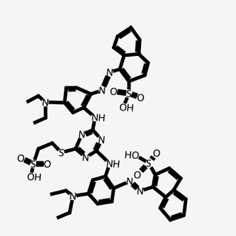 CCN(CC)c1ccc(/N=N/c2c(S(=O)(=O)O)ccc3ccccc23)c(Nc2nc(Nc3cc(N(CC)CC)ccc3/N=N/c3c(S(=O)(=O)O)ccc4ccccc34)nc(SCCS(=O)(=O)O)n2)c1